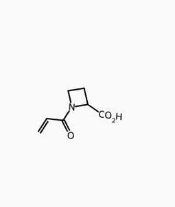 C=CC(=O)N1CCC1C(=O)O